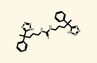 CC(CCCNC(=S)NCCCC(C)(c1ccccc1)c1nnn[nH]1)(c1ccccc1)c1nnn[nH]1